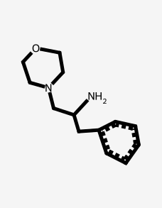 NC(Cc1ccccc1)CN1CCOCC1